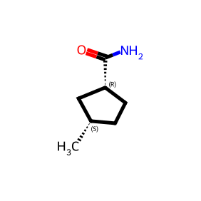 C[C@H]1CC[C@@H](C(N)=O)C1